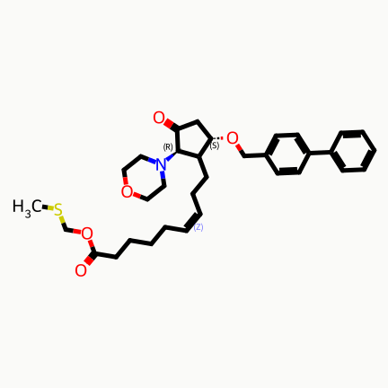 CSCOC(=O)CCCC/C=C\CCC1[C@@H](OCc2ccc(-c3ccccc3)cc2)CC(=O)[C@@H]1N1CCOCC1